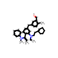 C=CN(CCC1=CCCCC1)c1cc(Cc2ccc(C)c(C=O)c2)ccc1/C(=C/C)N(C)c1ccccc1